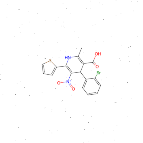 CC1=C(C(=O)O)C(c2ccccc2Br)C([N+](=O)[O-])=C(c2cccs2)N1